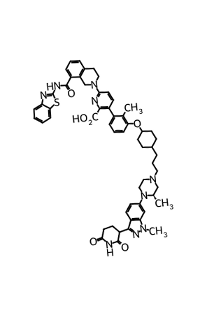 Cc1c(OC2CCC(CCCN3CCN(c4ccc5c(C6CCC(=O)NC6=O)nn(C)c5c4)[C@H](C)C3)CC2)cccc1-c1ccc(N2CCc3cccc(C(=O)Nc4nc5ccccc5s4)c3C2)nc1C(=O)O